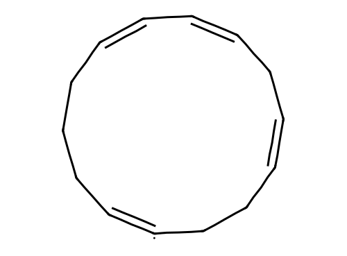 [C]1=CCCCC=CC=CCC=CCC1